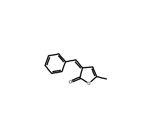 CC1=CC(=Cc2ccccc2)C(=O)O1